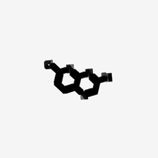 [2H]c1cnc2ccc(Cl)nc2n1